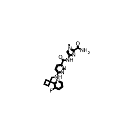 Cn1cc(NC(=O)c2ccc(NCC3(c4ncccc4F)CCC3)nn2)nc1C(N)=O